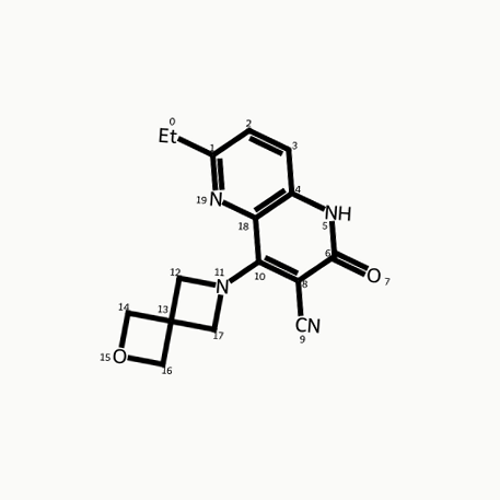 CCc1ccc2[nH]c(=O)c(C#N)c(N3CC4(COC4)C3)c2n1